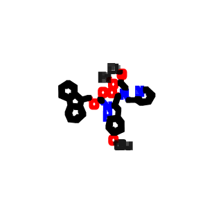 CCOC(CN(Cc1ccccn1)C(=O)C(Cc1ccc(OC(C)(C)C)cc1)NC(=O)OCC1c2ccccc2-c2ccccc21)OCC